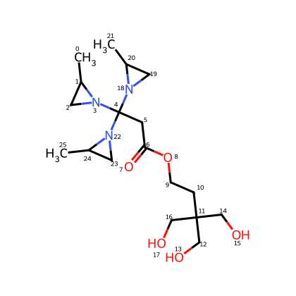 CC1CN1C(CC(=O)OCCC(CO)(CO)CO)(N1CC1C)N1CC1C